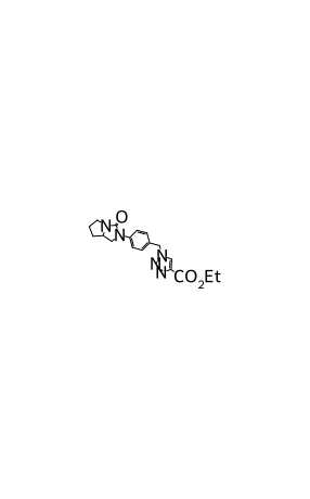 CCOC(=O)c1cn(Cc2ccc(N3CC4CCCN4C3=O)cc2)nn1